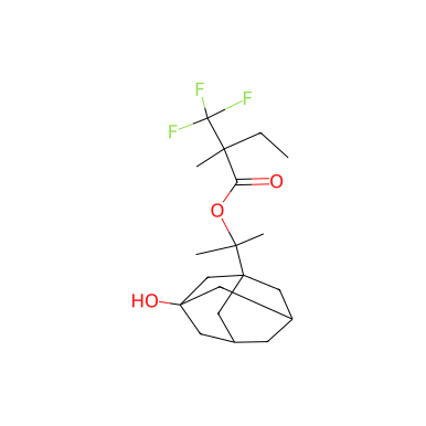 CCC(C)(C(=O)OC(C)(C)C12CC3CC(CC(O)(C3)C1)C2)C(F)(F)F